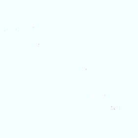 CC=C(C=CC=CCCCCCCCCCCC)C(N)=O